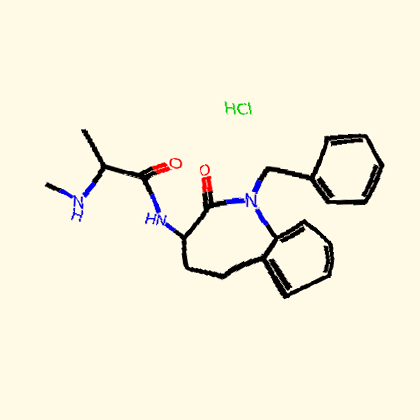 CNC(C)C(=O)NC1CCc2ccccc2N(Cc2ccccc2)C1=O.Cl